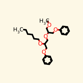 CCCCCCOC(COc1ccccc1)COC(COC)COc1ccccc1